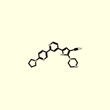 C#Cc1cc(-c2ccnc(-c3ccc(N4CCCC4)nc3)c2)[nH]c1N1CCNCC1